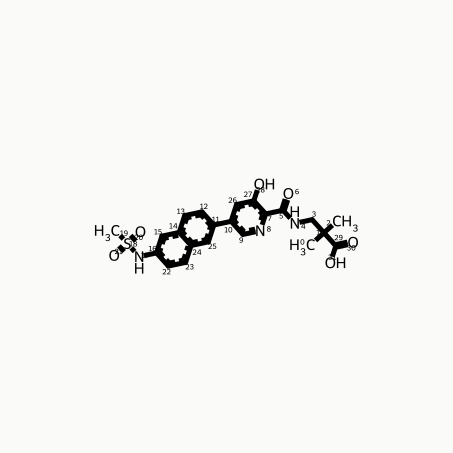 CC(C)(CNC(=O)c1ncc(-c2ccc3cc(NS(C)(=O)=O)ccc3c2)cc1O)C(=O)O